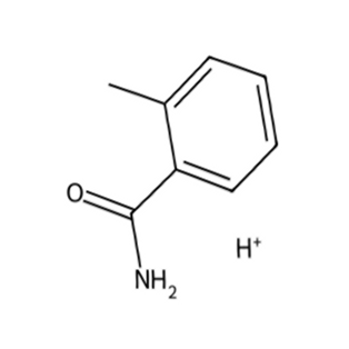 Cc1ccccc1C(N)=O.[H+]